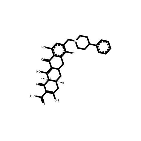 C[C@@]12C(=O)C(C(N)=O)=C(O)C[C@@H]1CC1Cc3c(Cl)c(CN4CCC(c5ccccc5)CC4)cc(O)c3C(=O)C1=C2O